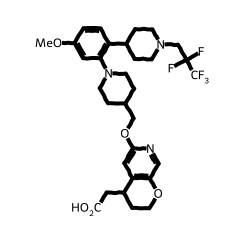 COc1ccc(C2CCN(CC(F)(F)C(F)(F)F)CC2)c(N2CCC(COc3cc4c(cn3)OCCC4CC(=O)O)CC2)c1